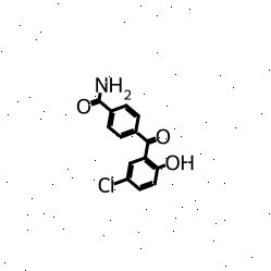 NC(=O)c1ccc(C(=O)c2cc(Cl)ccc2O)cc1